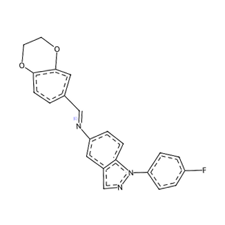 Fc1ccc(-n2ncc3cc(/N=C/c4ccc5c(c4)OCCO5)ccc32)cc1